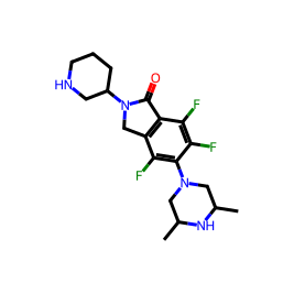 CC1CN(c2c(F)c(F)c3c(c2F)CN(C2CCCNC2)C3=O)CC(C)N1